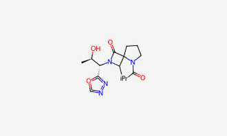 CC(C)C(=O)N1CCCC12C(=O)N([C@H](c1nnco1)[C@@H](C)O)C2C